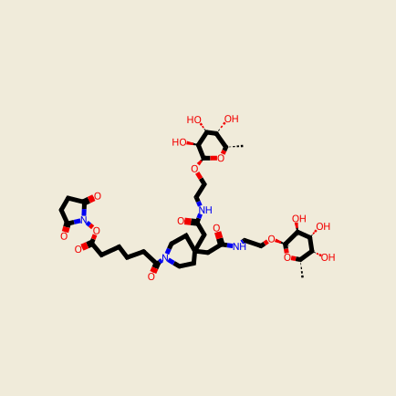 C[C@@H]1O[C@@H](OCCNC(=O)CC2(CC(=O)NCCO[C@@H]3O[C@@H](C)[C@@H](O)[C@@H](O)[C@@H]3O)CCN(C(=O)CCCCC(=O)ON3C(=O)CCC3=O)CC2)[C@@H](O)[C@H](O)[C@@H]1O